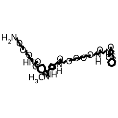 CC1=NNC(c2ccc(CNC(=O)CCOCCOCCOCCOCCNC(=O)CCN3C(=O)CC(SC4CCCCCC4)C3=O)cc2)=C2CCCC(OC(=O)NCCOCCOCCOCCN)CCC12